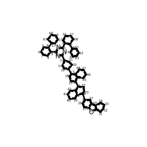 c1ccc(-c2ccccc2-c2nc(-c3ccc(-c4ccc(-c5ccc(-c6ccc7oc8ccccc8c7c6)c6ccccc56)c5ccccc45)cc3)nc(-c3ccccc3-c3ccccc3)n2)cc1